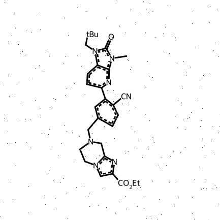 CCOC(=O)c1cn2c(n1)CN(Cc1ccc(C#N)c(-c3ccc4c(n3)n(C)c(=O)n4CC(C)(C)C)c1)CC2